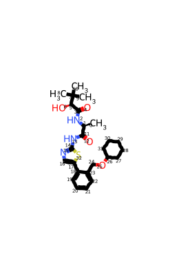 C[C@H](NC(=O)[C@@H](O)C(C)(C)C)C(=O)Nc1ncc(-c2ccccc2COC2CCCCC2)s1